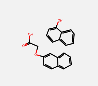 O=C(O)COc1ccc2ccccc2c1.Oc1cccc2ccccc12